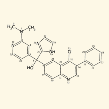 CN(C)c1cc(C(O)(c2ccc3ncc(-c4ccccc4)c(Cl)c3c2)c2ncc[nH]2)ccn1